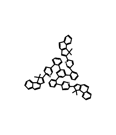 CC1(C)C(c2ccc(-c3ccccc3-c3cc(-c4ccccc4-c4ccc(C5=Cc6ccc7ccccc7c6C5(C)C)nc4)cc(-c4ccccc4-c4ccc(C5=Cc6ccc7ccccc7c6C5(C)C)nc4)c3)cn2)=Cc2ccc3ccccc3c21